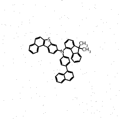 CC1(C)c2ccccc2-c2c(N(c3ccc(-c4cccc5ccccc45)cc3)c3ccc4c(c3)sc3ccc5ccccc5c34)cccc21